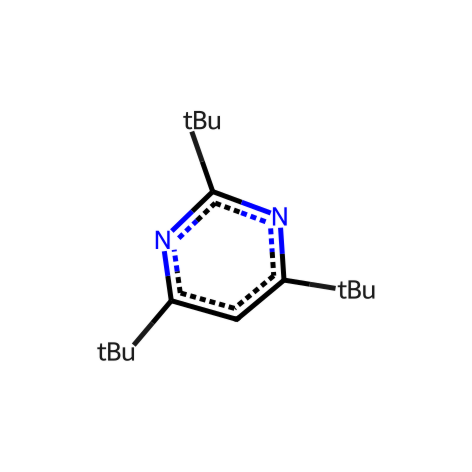 CC(C)(C)c1cc(C(C)(C)C)nc(C(C)(C)C)n1